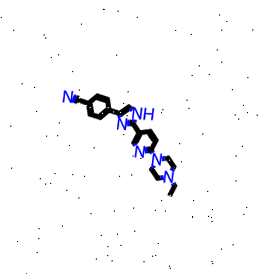 CCN1CCN(c2ccc(-c3nc(-c4ccc(C#N)cc4)c[nH]3)cn2)CC1